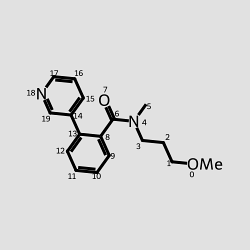 COCCCN(C)C(=O)c1ccccc1-c1cccnc1